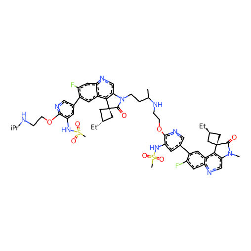 CC[C@H]1C[C@@]2(C1)C(=O)N(C)c1cnc3cc(F)c(-c4cnc(OCCNC(C)CCN5c6cnc7cc(F)c(-c8cnc(OCCNC(C)C)c(NS(C)(=O)=O)c8)cc7c6[C@]6(C[C@H](CC)C6)C5=O)c(NS(C)(=O)=O)c4)cc3c12